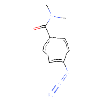 CN(C)C(=O)c1ccc(N=[N+]=N)cc1